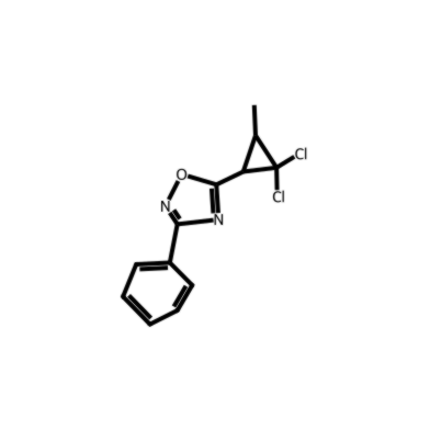 CC1C(c2nc(-c3ccccc3)no2)C1(Cl)Cl